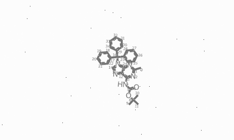 Cc1nc(NC(=O)OC(C)(C)C)c2ncn(C(c3ccccc3)(c3ccccc3)c3ccccc3)c2n1